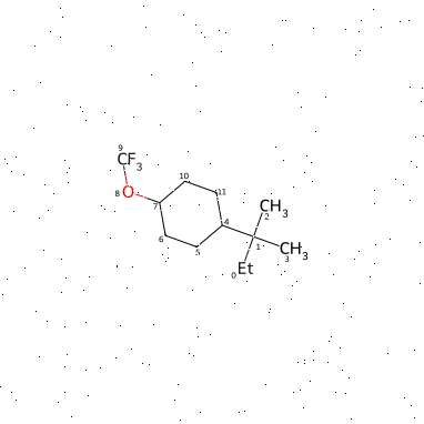 CCC(C)(C)C1CCC(OC(F)(F)F)CC1